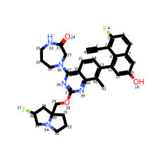 C#Cc1c(F)ccc2cc(O)cc(-c3ccc4c(N5CCCNC(=O)C5)nc(OCC56CCCN5CC(F)C6)nc4c3C)c12